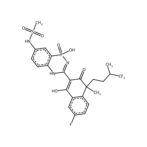 CC(CCC1(C)C(=O)C(C2=NP(=O)(O)c3cc(NS(C)(=O)=O)ccc3N2)=C(O)c2cc(F)ccc21)C(F)(F)F